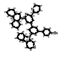 CC(C)(C)c1ccc(-c2cc(-c3cc(-c4ccccn4)nc(-c4cc5ccccc5c5ccccc45)c3)cc(-n3c4ccccc4c4ccncc43)c2)cc1